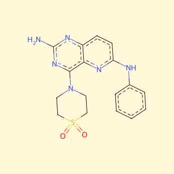 Nc1nc(N2CCS(=O)(=O)CC2)c2nc(Nc3ccccc3)ccc2n1